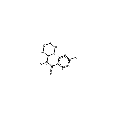 Cc1ccc(C(=O)N(C)C2CCCOC2)cc1